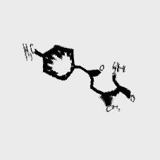 Cc1ccc(C(=O)CC(C)C(=O)S)cc1